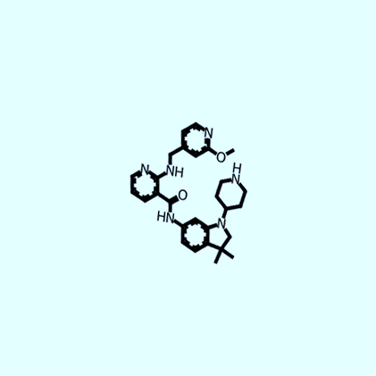 COc1cc(CNc2ncccc2C(=O)Nc2ccc3c(c2)N(C2CCNCC2)CC3(C)C)ccn1